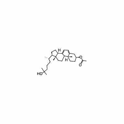 CC(=O)O[C@H]1CC[C@@]2(C)C(=CC=C3[C@@H]4CC[C@H]([C@@H](C)CCCC(C)(C)O)[C@@]4(C)CC[C@@H]32)C1